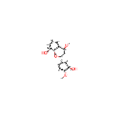 COc1ccc([C@H]2CC(=O)c3cccc(O)c3O2)cc1O